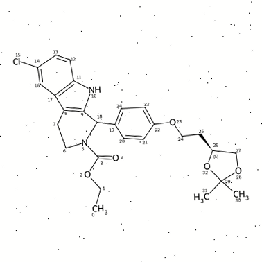 CCOC(=O)N1CCc2c([nH]c3ccc(Cl)cc23)C1c1ccc(OCC[C@H]2COC(C)(C)O2)cc1